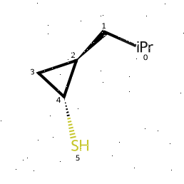 CC(C)C[C@@H]1C[C@H]1S